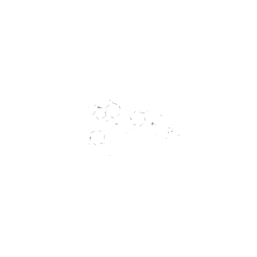 COc1cc(F)cc(-c2c[nH]c3ncc4c(c23)OCc2cc(N3CCN(C)CC3)ccc2-4)c1